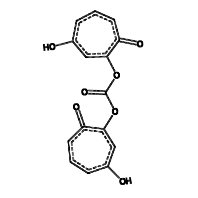 O=C(Oc1cc(O)cccc1=O)Oc1cc(O)cccc1=O